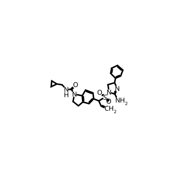 C=CC(c1ccc2c(c1)CCN2C(=O)NCC1CC1)S(=O)(=O)N1CC(c2ccccc2)N=C1N